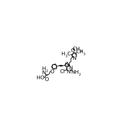 COc1c(C)cnc(CCn2cc(C#Cc3cccc(OCC[C@H](N)C(=O)O)c3)c3c(Cl)nc(N)nc32)c1C